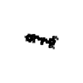 Cc1ccc(C)c(OCC(=O)NCCc2nc3ccccc3[nH]2)c1